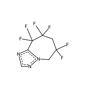 FC1(F)Cn2ncnc2C(F)(F)C(F)(F)C1